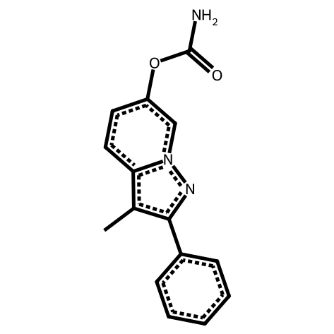 Cc1c(-c2ccccc2)nn2cc(OC(N)=O)ccc12